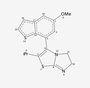 COc1cc(C2=C(C(C)C)SC3=NCCN32)c2sccc2c1